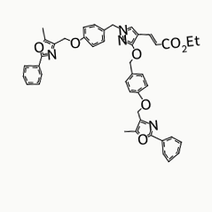 CCOC(=O)/C=C/c1cn(Cc2ccc(OCc3nc(-c4ccccc4)oc3C)cc2)nc1OCc1ccc(OCc2nc(-c3ccccc3)oc2C)cc1